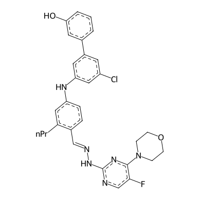 CCCc1cc(Nc2cc(Cl)cc(-c3cccc(O)c3)c2)ccc1/C=N/Nc1ncc(F)c(N2CCOCC2)n1